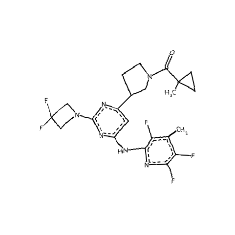 Cc1c(F)c(F)nc(Nc2cc(C3CCN(C(=O)C4(C)CC4)C3)nc(N3CC(F)(F)C3)n2)c1F